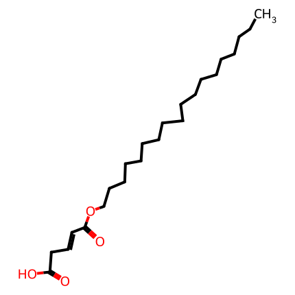 CCCCCCCCCCCCCCCCCCOC(=O)C=CCC(=O)O